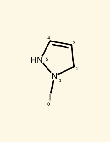 IN1CC=CN1